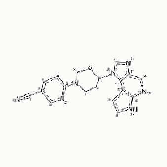 N#Cc1ccc(N2CCC(n3cnc4cnc5[nH]ccc5c43)CC2)nc1